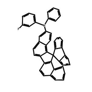 Fc1cccc(N(c2ccccc2)c2ccc3c4c(ccc3c2)-c2ccc3ccccc3c2C42c3ccccc3-c3ccccc32)c1